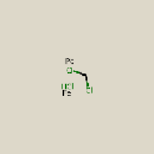 Cl.ClCCl.[Fe].[Pd]